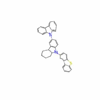 c1ccc2c(c1)sc1ccc(N3c4ccc(-n5c6ccccc6c6ccccc65)cc4C4CCCCC43)cc12